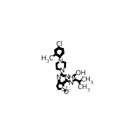 Cc1cc(Cl)ccc1N1CCN(c2nc3c(c(N[C@@H](CO)C(C)C)n2)[S+]([O-])CC3)CC1